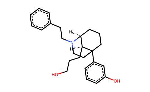 OCCC[C@H]1[C@@H]2CCCC1(c1cccc(O)c1)CCN2CCc1ccccc1